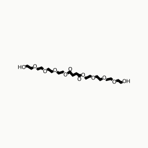 O=C(CCC(=O)OCCOCCOCCOCCO)OCCOCCOCCOCCO